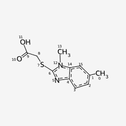 Cc1ccc2nc(SCC(=O)O)n(C)c2c1